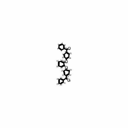 O=C(c1ccccc1)c1ccc(Oc2ccccc2Oc2ccc(C(=O)c3ccccc3)cc2)cc1